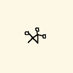 CC1(Cl)CC1(Cl)Cl